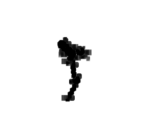 CNC(=O)CCCCCSC1CC(=O)N(CCCCCC(=O)N/N=C(\CO)[C@@]2(O)Cc3c(O)c4c(c(O)c3[C@H](O[C@@H]3C[C@@H](N)[C@@H](O)[C@@H](C)O3)C2)C(=O)c2c(OC)cccc2C4=O)C1=O